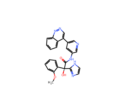 COc1ccccc1[C@](O)(C(=O)Nc1cncc(-c2cnnc3ccccc23)c1)c1ncc[nH]1